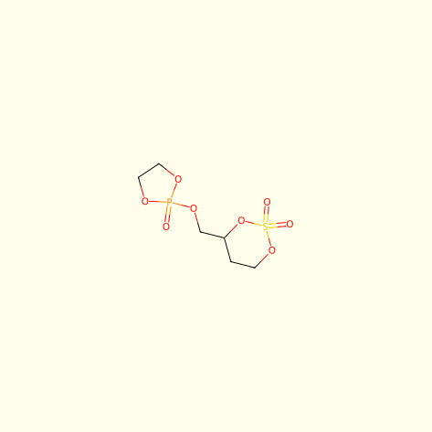 O=P1(OCC2CCOS(=O)(=O)O2)OCCO1